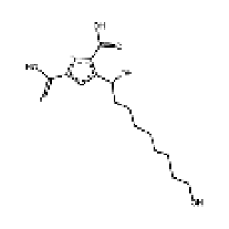 O=C(O)c1cc(C(O)CCCCCCCCO)c(C(=O)O)o1